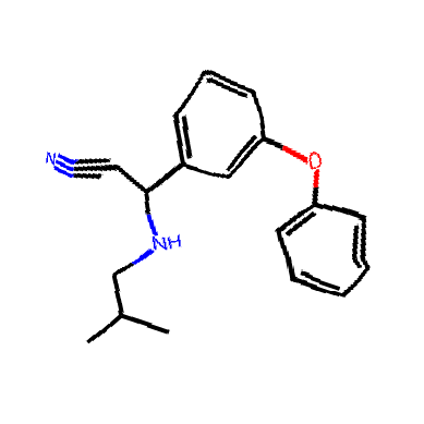 CC(C)CNC(C#N)c1cccc(Oc2ccccc2)c1